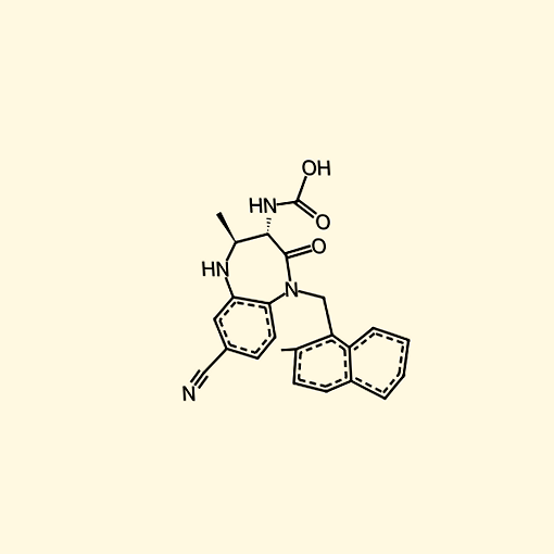 Cc1ccc2ccccc2c1CN1C(=O)[C@@H](NC(=O)O)[C@H](C)Nc2cc(C#N)ccc21